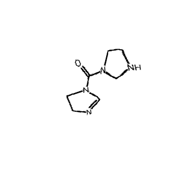 O=C(N1C=NCC1)N1CCNC1